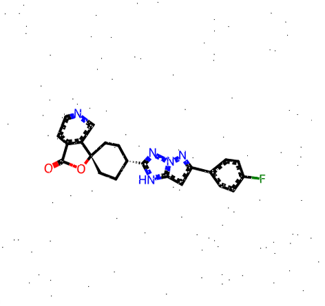 O=C1O[C@]2(CC[C@@H](c3nn4nc(-c5ccc(F)cc5)cc4[nH]3)CC2)c2cnccc21